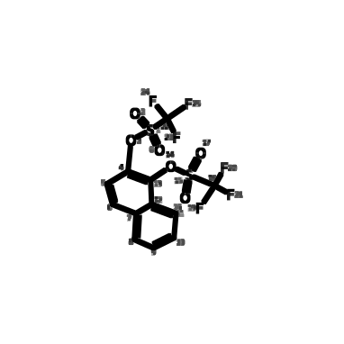 O=S(=O)(Oc1ccc2ccccc2c1OS(=O)(=O)C(F)(F)F)C(F)(F)F